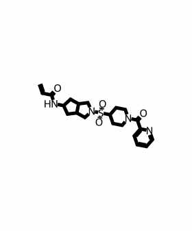 C=CC(=O)NC1CC2CN(S(=O)(=O)C3CCN(C(=O)c4ccccn4)CC3)CC2C1